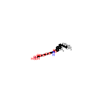 CC(C)CCC[C@H](C)C1CCC2C3CC=C4C[C@@H](OC(=O)NCCCOCCOCCOCCOCC(O)COP(=O)(O)O)CC[C@]4(C)C3CC[C@@]21C